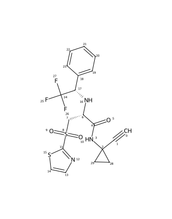 C#CC1(NC(=O)[C@H](CS(=O)(=O)c2nccs2)N[C@@H](c2ccccc2)C(F)(F)F)CC1